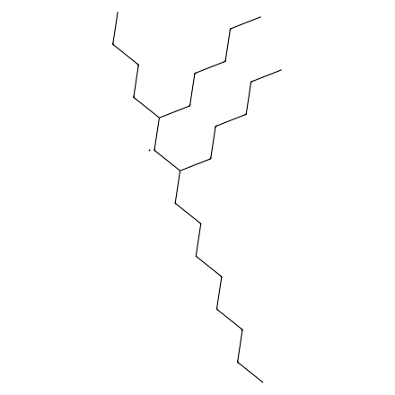 CCCCCCCCC([CH]C(CCCC)CCCCC)CCCCC